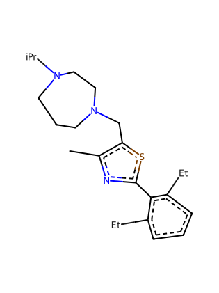 CCc1cccc(CC)c1-c1nc(C)c(CN2CCCN(C(C)C)CC2)s1